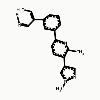 C/C=C(\C=N/CC)c1cccc(-c2ccc(-c3cnn(C)c3)c(C)n2)c1